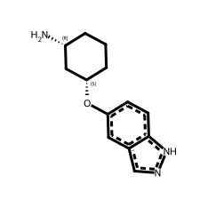 N[C@@H]1CCC[C@H](Oc2ccc3[nH]ncc3c2)C1